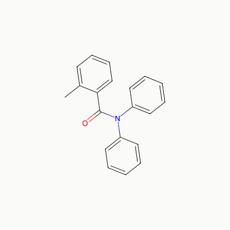 Cc1ccccc1C(=O)N(c1ccccc1)c1ccccc1